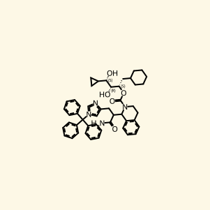 NC(=O)C(Cc1cn(C(c2ccccc2)(c2ccccc2)c2ccccc2)cn1)C1c2ccccc2CCN1C(=O)O[C@@H](CC1CCCCC1)[C@H](O)[C@@H](O)C1CC1